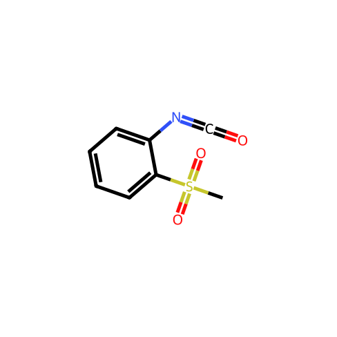 CS(=O)(=O)c1ccccc1N=C=O